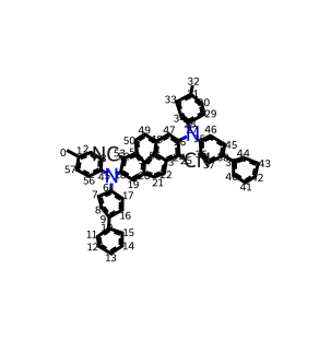 Cc1ccc(N(c2ccc(-c3ccccc3)cc2)c2cc3ccc4c(C#N)c(N(c5ccc(C)cc5)c5ccc(-c6ccccc6)cc5)cc5ccc(c2C#N)c3c54)cc1